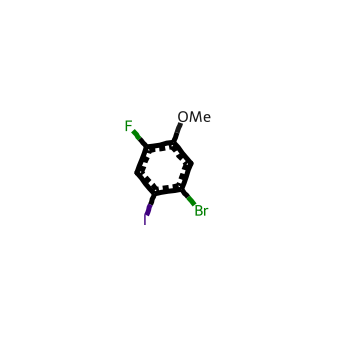 COc1cc(Br)c(I)cc1F